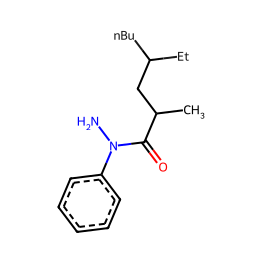 CCCCC(CC)CC(C)C(=O)N(N)c1ccccc1